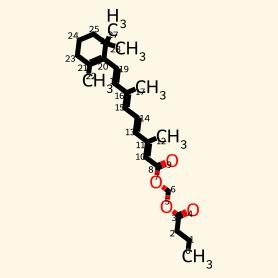 CCCC(=O)OCOC(=O)/C=C(C)/C=C/C=C(C)/C=C/C1=C(C)CCCC1(C)C